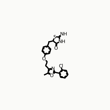 Cc1oc(-c2ccccc2Cl)nc1CCOc1ccc(CC2SC(=N)NC2=O)cc1